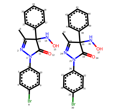 CC1=NN(c2ccc(Br)cc2)C(=O)C1(NO)c1ccccc1.CC1=NN(c2ccc(Br)cc2)C(=O)C1(NO)c1ccccc1